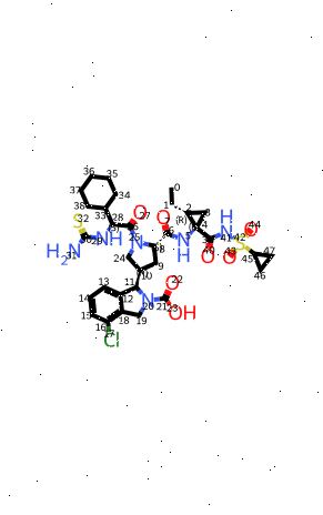 CC[C@@H]1C[C@]1(NC(=O)[C@@H]1C[C@@H](C2c3cccc(Cl)c3CN2C(=O)O)CN1C(=O)[C@@H](NC(N)=S)C1CCCCC1)C(=O)NS(=O)(=O)C1CC1